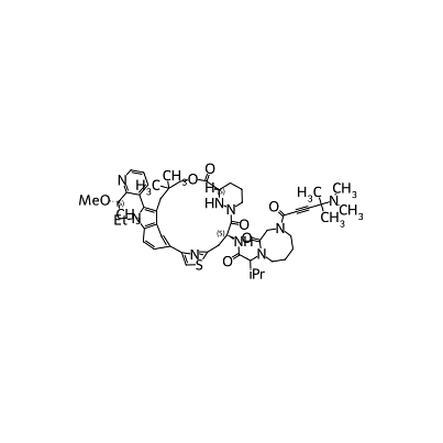 CCn1c(-c2cccnc2[C@H](C)OC)c2c3cc(ccc31)-c1csc(n1)C[C@H](NC(=O)C(C(C)C)N1CCCCN(C(=O)C#CC(C)(C)N(C)C)CC1=O)C(=O)N1CCC[C@H](N1)C(=O)OCC(C)(C)C2